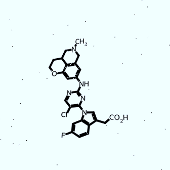 CN1Cc2cc(Nc3ncc(Cl)c(-n4cc(CC(=O)O)c5ccc(F)cc54)n3)cc3c2C(CCO3)C1